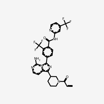 C=CC(=O)N1CCCC(c2nc(-c3ccc(C(=O)Nc4cc(C(F)(F)F)ccn4)c(C(F)(F)F)c3)n3c(N)nccc23)C1